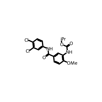 COc1ccc(C(=O)Nc2ccc(Cl)c(Cl)c2)cc1NC(=O)OC(C)C